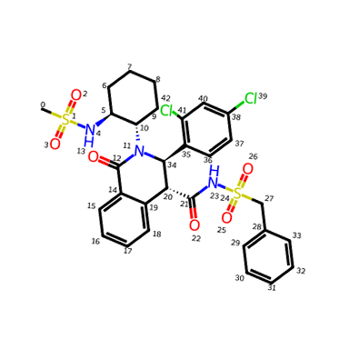 CS(=O)(=O)N[C@H]1CCCC[C@@H]1N1C(=O)c2ccccc2[C@@H](C(=O)NS(=O)(=O)Cc2ccccc2)[C@@H]1c1ccc(Cl)cc1Cl